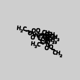 C=CCOC(=O)C(=O)N1C(=O)[C@H]([C@@H](C)O[Si](C)(C)C(C)(C)C)[C@H]1CC(=O)C(C)=C[C@@H]1CCCN1C(=O)OCC=C